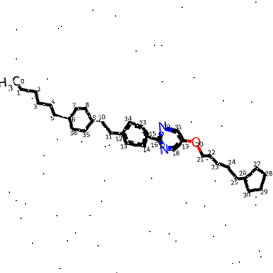 CCCCCC[C@H]1CC[C@H](CCc2ccc(-c3ncc(OCCCCCC4CCCC4)cn3)cc2)CC1